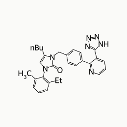 CCCCc1cn(-c2c(C)cccc2CC)c(=O)n1Cc1ccc(-c2ncccc2-c2nnn[nH]2)cc1